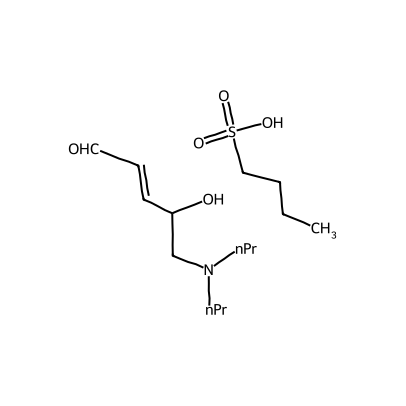 CCCCS(=O)(=O)O.CCCN(CCC)CC(O)C=CC=O